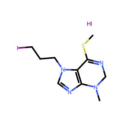 CSC1=NCN(C)c2ncn(CCCI)c21.I